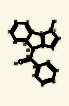 Cn1ccc2c1c1ccccc1n2C(=O)c1ccccc1